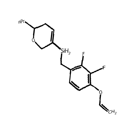 C=COc1ccc(C[SiH2]C2=CCC(CCC)OC2)c(F)c1F